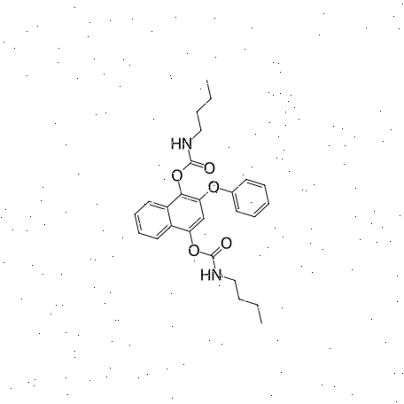 CCCCNC(=O)Oc1cc(Oc2ccccc2)c(OC(=O)NCCCC)c2ccccc12